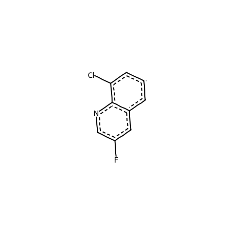 Fc1cnc2c(Cl)c[c]cc2c1